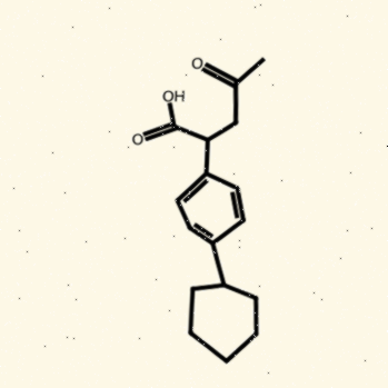 CC(=O)CC(C(=O)O)c1ccc(C2CCCCC2)cc1